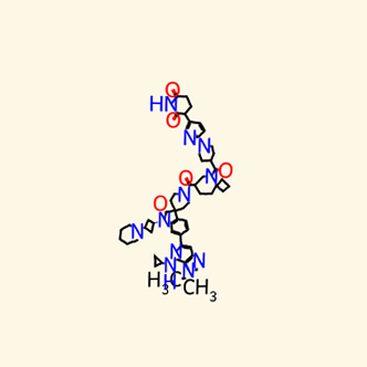 CC(C)n1cnc2cc(-c3ccc4c(c3)N([C@H]3C[C@@H](N5CCCCC5)C3)C(=O)C43CCN(C(=O)C4CCC5(CCC5)N(C(=O)C5CCN(c6ccc(C7CCC(=O)NC7=O)cn6)CC5)C4)CC3)nc(NC3CC3)c21